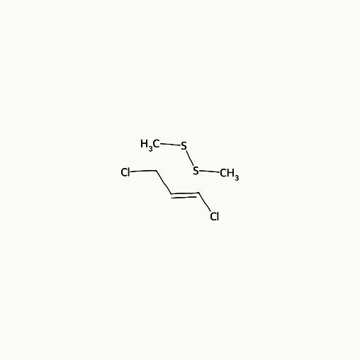 CSSC.ClC=CCCl